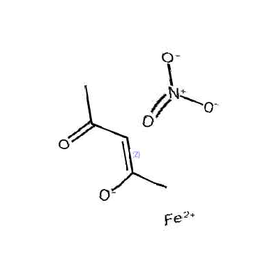 CC(=O)/C=C(/C)[O-].O=[N+]([O-])[O-].[Fe+2]